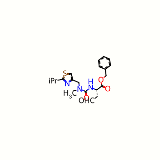 CC(C)c1nc(CN(C)C(=O)N[C@@H](CC=O)C(=O)OCc2ccccc2)cs1